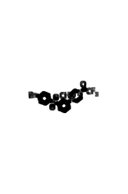 O=Cc1c(N2CCN(C(=O)C(F)(F)F)CC2)cccc1S(=O)(=O)c1ccc(Br)cc1